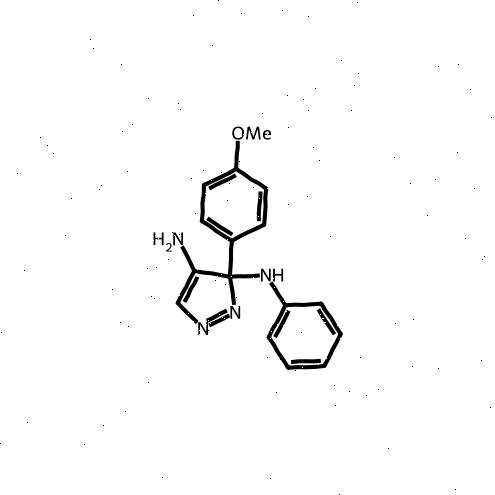 COc1ccc(C2(Nc3ccccc3)N=NC=C2N)cc1